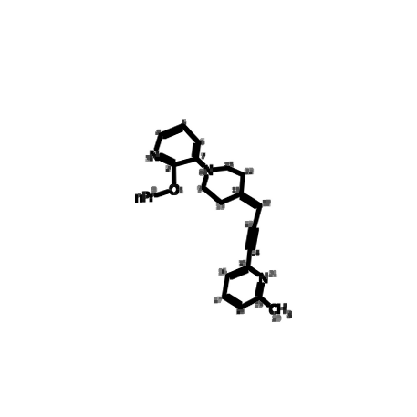 CCCOc1ncccc1N1CCC(=CC#Cc2cccc(C)n2)CC1